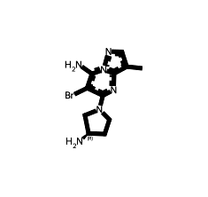 Cc1cnn2c(N)c(Br)c(N3CC[C@@H](N)C3)nc12